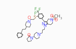 CS(=O)(=O)N1CCc2c(c(-c3ccc(C(F)(F)F)c(SCC(=O)N4CCC(CCc5ccccc5)CC4)c3)nn2CCCN2CCC(N3CCCC3=O)CC2)C1